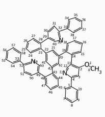 COc1cc(-c2ccccc2)ncc1-c1ccccc1-c1cc(-c2ccccc2-c2ccc(-c3ccccc3)nc2)cc(-c2ccccc2-c2ccc(-c3ccccc3)nc2)c1